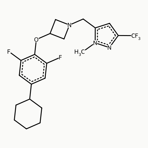 Cn1nc(C(F)(F)F)cc1CN1CC(Oc2c(F)cc(C3CCCCC3)cc2F)C1